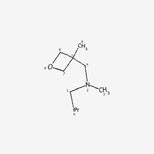 CC(C)CN(C)CC1(C)COC1